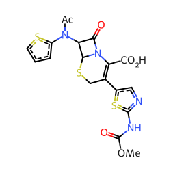 COC(=O)Nc1ncc(C2=C(C(=O)O)N3C(=O)C(N(C(C)=O)c4cccs4)C3SC2)s1